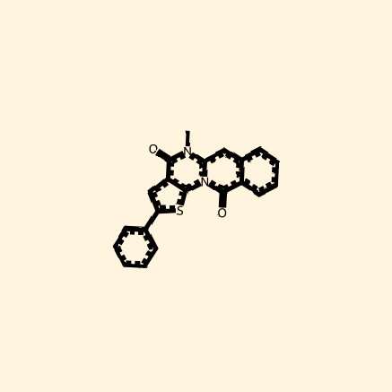 Cn1c(=O)c2cc(-c3ccccc3)sc2n2c(=O)c3ccccc3cc12